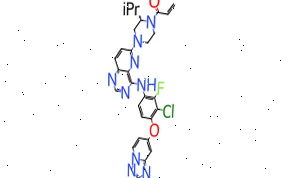 C=CC(=O)N1CCN(c2ccc3ncnc(Nc4ccc(Oc5ccn6ncnc6c5)c(Cl)c4F)c3n2)C[C@H]1C(C)C